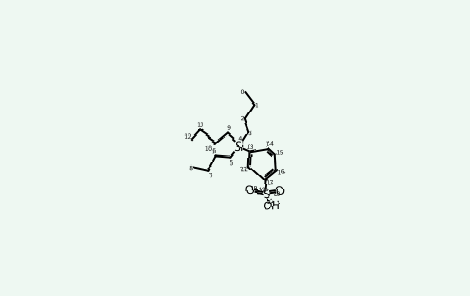 CCCC[Si](CCCC)(CCCC)c1cccc(S(=O)(=O)O)c1